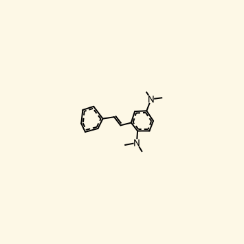 CN(C)c1ccc(N(C)C)c(C=Cc2ccccc2)c1